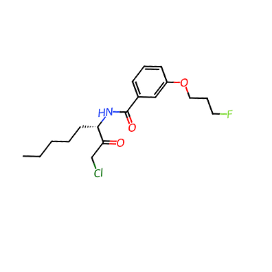 CCCCC[C@H](NC(=O)c1cccc(OCCCF)c1)C(=O)CCl